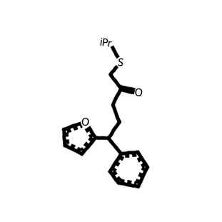 CC(C)SCC(=O)CCC(c1ccccc1)c1ccco1